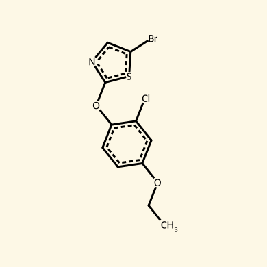 CCOc1ccc(Oc2ncc(Br)s2)c(Cl)c1